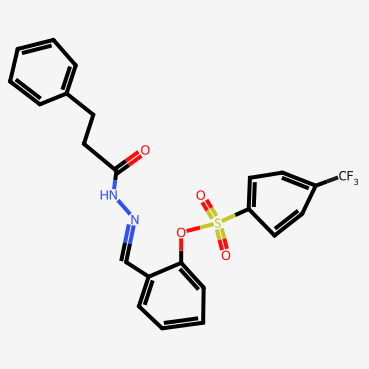 O=C(CCc1ccccc1)N/N=C/c1ccccc1OS(=O)(=O)c1ccc(C(F)(F)F)cc1